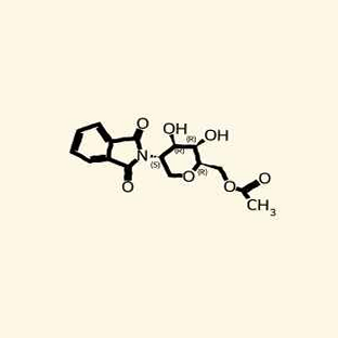 CC(=O)OC[C@H]1OC[C@H](N2C(=O)c3ccccc3C2=O)[C@@H](O)[C@H]1O